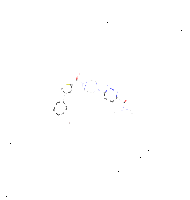 CCOc1cccc(-c2csc(C(=O)N3CCN(c4ccc(C(=O)N(CC)CC)nn4)CC3)c2)c1